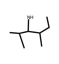 CCC(C)C([NH])C(C)C